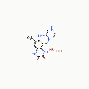 Br.Br.NC1=CNC=CN1Cc1cc([N+](=O)[O-])cc2[nH]c(=O)c(=O)[nH]c12